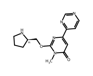 Cn1c(OC[C@H]2CCCN2)nc(-c2ccncn2)cc1=O